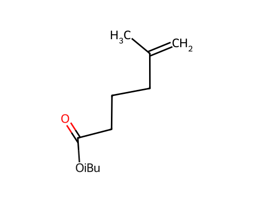 C=C(C)CCCC(=O)OCC(C)C